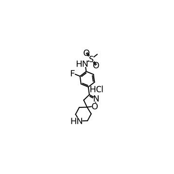 CS(=O)(=O)Nc1ccc(C2=NOC3(CCNCC3)C2)cc1F.Cl